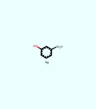 O=S(=O)(O)c1cccc(O)c1.[Ag]